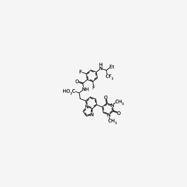 CCC(Nc1cc(F)c(C(=O)NC(Cc2ccc(-c3cn(C)c(=O)n(C)c3=O)c3nccn23)C(=O)O)c(F)c1)C(F)(F)F